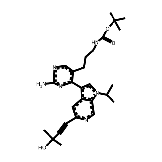 CC(C)n1cc(-c2nc(N)ncc2CCCNC(=O)OC(C)(C)C)c2cc(C#CC(C)(C)O)ncc21